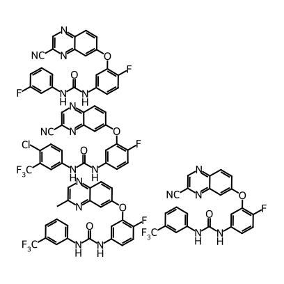 Cc1cnc2ccc(Oc3cc(NC(=O)Nc4cccc(C(F)(F)F)c4)ccc3F)cc2n1.N#Cc1cnc2ccc(Oc3cc(NC(=O)Nc4ccc(Cl)c(C(F)(F)F)c4)ccc3F)cc2n1.N#Cc1cnc2ccc(Oc3cc(NC(=O)Nc4cccc(C(F)(F)F)c4)ccc3F)cc2n1.N#Cc1cnc2ccc(Oc3cc(NC(=O)Nc4cccc(F)c4)ccc3F)cc2n1